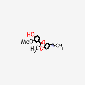 C/C=C/c1ccc2c(c1)OC(c1ccc(O)c(OC)c1)C(C)O2